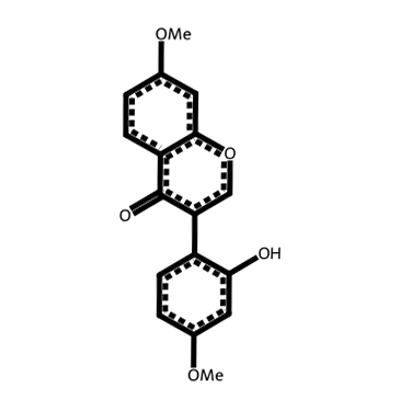 COc1ccc(-c2coc3cc(OC)ccc3c2=O)c(O)c1